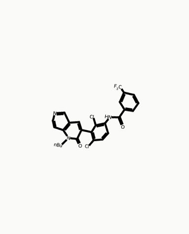 CCCCn1c(=O)c(-c2c(Cl)ccc(NC(=O)c3cccc(C(F)(F)F)c3)c2Cl)cc2cnccc21